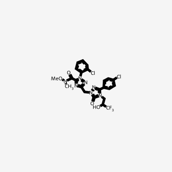 CON(C)C(=O)c1nc(Cn2nc(-c3ccc(Cl)cc3)n(CC(O)C(F)(F)F)c2=O)nn1-c1ccccc1Cl